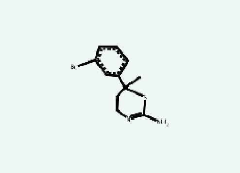 CC1(c2cccc(Br)c2)CCN=C(N)S1